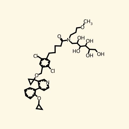 COCCCN(CC(O)C(O)C(O)C(O)CO)C(=O)CCCCc1cc(Cl)c(COC2(c3cnccc3-c3ccccc3OC3CC3)CC2)cc1Cl